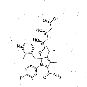 CC1=C(C(C)C)C(Cc2ccccc2C)(OC[C@@H](O)C[C@@H](O)CC(=O)[O-])N(c2ccc(F)cc2)N1C(N)=O.[Na+]